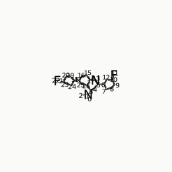 CN(C)c1cc(-c2cccc(F)c2)nc2ccc(-c3ccc(F)cc3)cc12